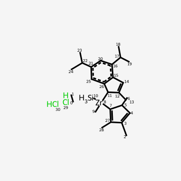 CC.CC1=CC(C)[C]([Zr]([CH3])([SiH3])[CH]2C(C)=Cc3c(C(C)C)cc(C(C)C)cc32)=C1C.Cl.Cl